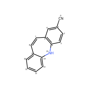 N#Cc1ccc2c(c1)C=Cc1ccccc1N2